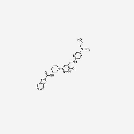 CN(CCO)c1ccc(NCc2cc(N3CCCC(NC(=O)c4cc5ccccc5s4)C3)n[nH]c2=O)nc1